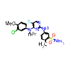 CCCN(c1ccc(OC)c(Cl)c1)c1nc(Nc2ccc(C)c(S(N)(=O)=O)c2)ncc1F